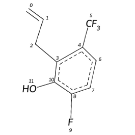 C=CCc1c(C(F)(F)F)ccc(F)c1O